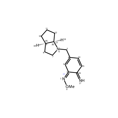 CO/N=C1/C=C(CN2CC[C@H]3CCC[C@H]32)C=CC1=N